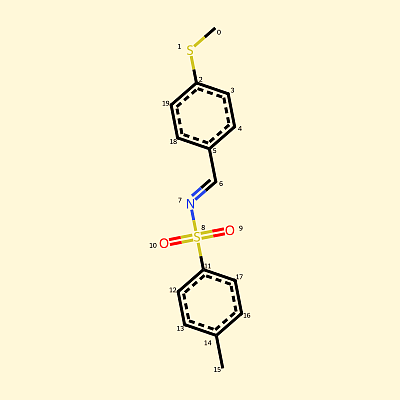 CSc1ccc(C=NS(=O)(=O)c2ccc(C)cc2)cc1